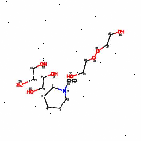 O=CN1CCCCC1.OCCO.OCCO.OCCOOCCO